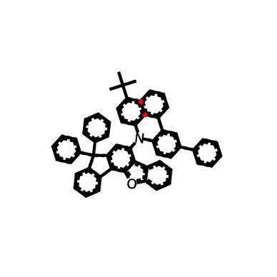 CC(C)(C)c1ccc(N(c2ccc(-c3ccccc3)cc2-c2ccccc2)c2cc3c(c4oc5ccccc5c24)-c2ccccc2C3(c2ccccc2)c2ccccc2)cc1